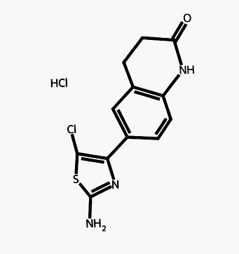 Cl.Nc1nc(-c2ccc3c(c2)CCC(=O)N3)c(Cl)s1